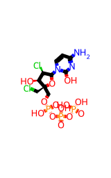 NC1=NC(O)N(C2O[C@](CCl)(COP(=O)(O)OP(=O)(O)OP(=O)(O)O)[C@@H](O)[C@H]2Cl)C=C1